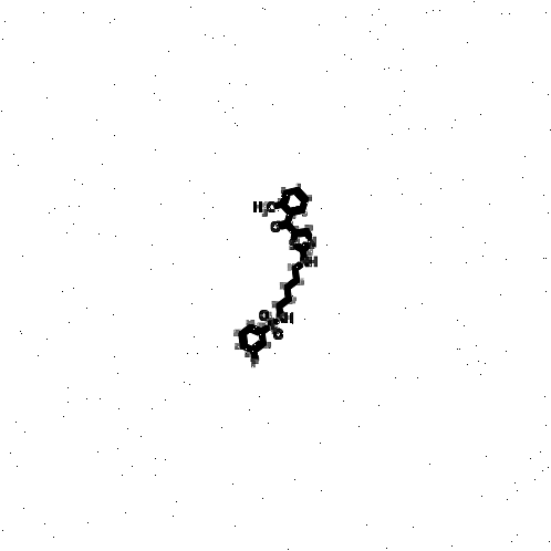 Cc1ccccc1C(=O)c1cnc(NCCCCCNS(=O)(=O)c2cccc(F)c2)s1